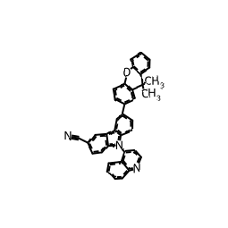 CC1(C)c2ccccc2Oc2ccc(-c3ccc4c(c3)c3cc(C#N)ccc3n4-c3ccnc4ccccc34)cc21